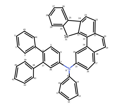 c1ccc(-c2ccc(N(c3ccccc3)c3ccc4ccc5ccc6c7ccccc7[se]c6c5c4c3)cc2-c2ccccc2)cc1